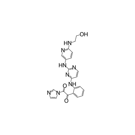 O=C(C(=O)n1ccnc1)c1ccccc1Nc1ccnc(Nc2ccc(NCCO)nc2)n1